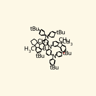 CC(C)(C)c1ccc(N(c2ccc(C(C)(C)C)cc2)c2ccc3c(c2)N(c2ccc4c(c2)-c2ccccc2C4(C)C)c2cc(N(c4ccc(C(C)(C)C)cc4)c4ccc(C(C)(C)C)cc4)cc4c2B3c2cc(C(C)(C)C)cc3c2C4C2(C)CCCCC32C)cc1